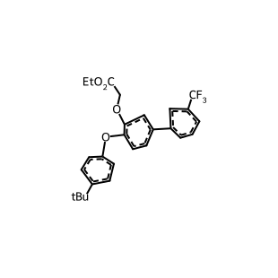 CCOC(=O)COc1cc(-c2cccc(C(F)(F)F)c2)ccc1Oc1ccc(C(C)(C)C)cc1